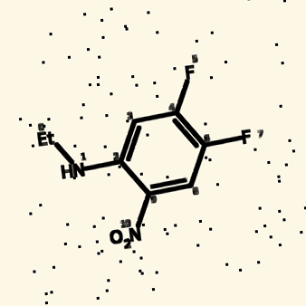 CCNc1cc(F)c(F)cc1[N+](=O)[O-]